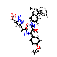 COc1ccc(C(NC(=O)Cc2cc(CO)[nH]n2)C(=O)Nc2ccc([Si](C)(C)C)cc2)cc1